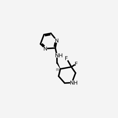 FC1(F)CNCC[C@H]1CNc1ncccn1